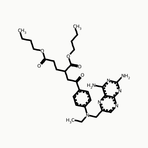 CCCCOC(=O)CCC(CC(=O)c1ccc(N(CC)Cc2cnc3nc(N)nc(N)c3n2)cc1)C(=O)OCCCC